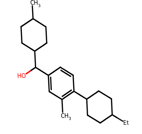 CCC1CCC(c2ccc(C(O)C3CCC(C)CC3)cc2C)CC1